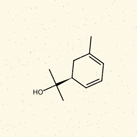 CC1=CC=C[C@@H](C(C)(C)O)C1